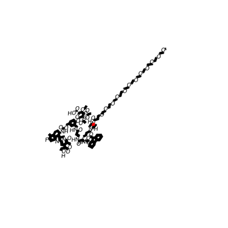 CC[C@@]1(O)C(=O)OCc2c1cc1n(c2=O)Cc2c-1nc1cc(F)c(C)c3c1c2[C@@H](NC(=O)OCc1ccc(O[C@@H]2O[C@H](C(=O)O)[C@@H](OC(C)=O)[C@H](OC(C)=O)[C@H]2OC(C)=O)c(CNC(=O)CCNC(=O)[C@H](CCCC(=O)N2C[C@@H]4C[C@H]2CN4C(=O)CCOCCOCCOCCOCCOCCOCCOCCOCCOCCOCCOCCOC)NC(=O)OCC2c4ccccc4-c4ccccc42)c1)CC3